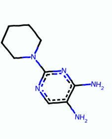 Nc1cnc(N2CCCCC2)nc1N